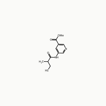 COC(=O)c1cncc(NC(=O)C(C)CS)c1